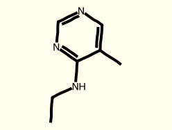 CCNc1ncncc1C